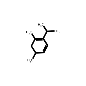 CC1=C(C(C)C)C=CC(C)[CH]1